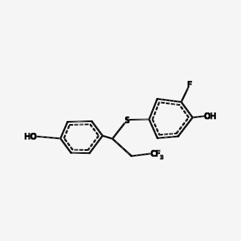 Oc1ccc(C(CC(F)(F)F)Sc2ccc(O)c(F)c2)cc1